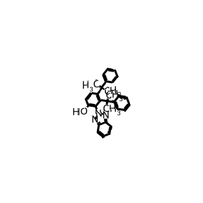 CC(C)(c1ccccc1)c1ccc(O)c(-n2nc3ccccc3n2)c1C(C)(C)c1ccccc1